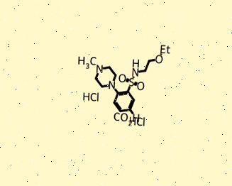 CCOCCNS(=O)(=O)c1cc(C(=O)O)ccc1N1CCN(C)CC1.Cl.Cl